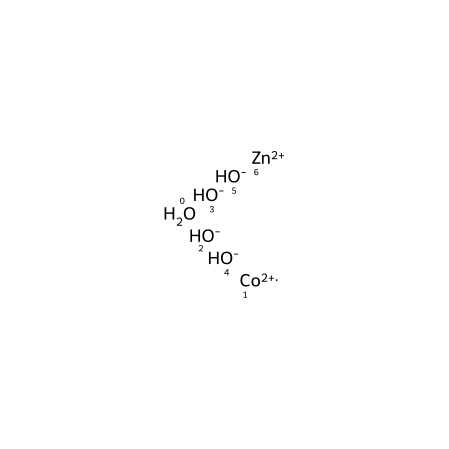 O.[Co+2].[OH-].[OH-].[OH-].[OH-].[Zn+2]